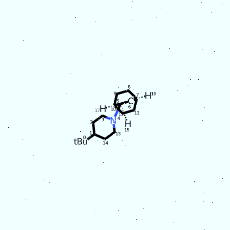 CC(C)(C)C1CCN([C@@H]2C[C@H]3CC[C@@H]2CC3)CC1